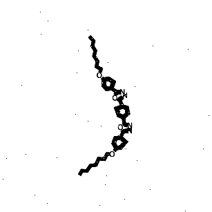 CCCCCCCCOc1ccc(-c2nnc(-c3ccc(-c4nnc(-c5ccc(OCCCCCCCC)cc5)o4)cc3)o2)cc1